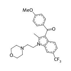 COc1ccc(C(=O)c2c(C)n(CCN3CCOCC3)c3cc(C(F)(F)F)ccc23)cc1